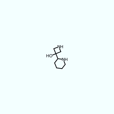 OC1(C2CCCCN2)CNC1